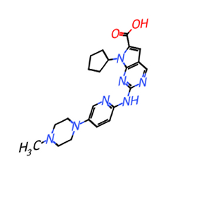 CN1CCN(c2ccc(Nc3ncc4cc(C(=O)O)n(C5CCCC5)c4n3)nc2)CC1